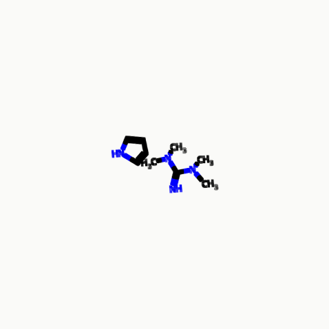 CN(C)C(=N)N(C)C.c1cc[nH]c1